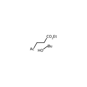 CCC(C)O.CCOC(=O)CCC(C)=O